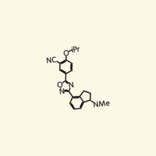 CN[C@@H]1CCc2c(-c3noc(-c4ccc(OC(C)C)c(C#N)c4)n3)cccc21